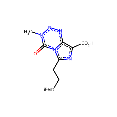 CCCC(C)CCc1nc(C(=O)O)c2nnn(C)c(=O)n12